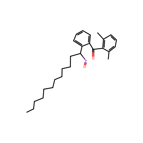 CCCCCCCCCCCC(P=O)c1ccccc1C(=O)c1c(C)cccc1C